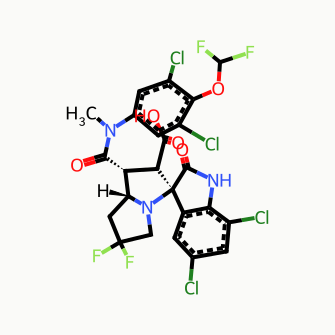 CN(C(=O)[C@@H]1C(C(=O)O)[C@@]2(C(=O)Nc3c(Cl)cc(Cl)cc32)N2CC(F)(F)C[C@H]12)c1cc(Cl)c(OC(F)F)c(Cl)c1